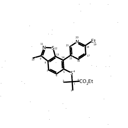 CCOC(=O)C(C)(C)Sc1ccc2c(C)nsc2c1-c1ccc(CC)nc1